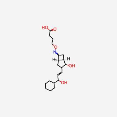 O=C(O)CCCON=C1C[C@H]2C(O)C(C=CC(O)C3CCCCC3)C[C@H]12